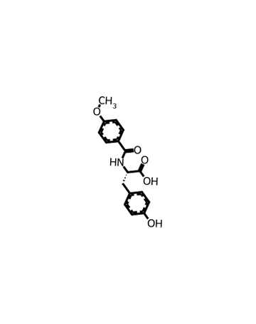 COc1ccc(C(=O)N[C@@H](Cc2ccc(O)cc2)C(=O)O)cc1